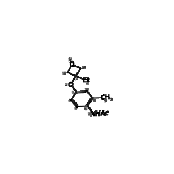 CCC1(Oc2ccc(NC(C)=O)c(C)c2)COC1